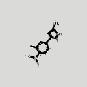 Cc1cc(-c2cc(N)[nH]n2)ccc1[N+](=O)[O-]